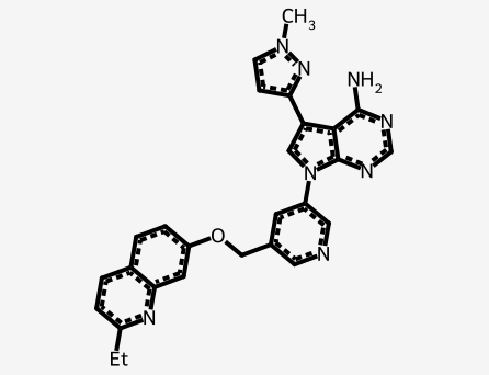 CCc1ccc2ccc(OCc3cncc(-n4cc(-c5ccn(C)n5)c5c(N)ncnc54)c3)cc2n1